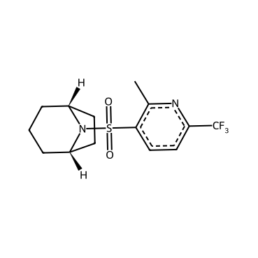 Cc1nc(C(F)(F)F)ccc1S(=O)(=O)N1[C@@H]2CCC[C@H]1CC2